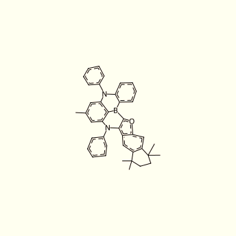 Cc1cc2c3c(c1)N(c1ccccc1)c1c(oc4cc5c(cc14)C(C)(C)CCC5(C)C)B3c1ccccc1N2c1ccccc1